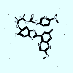 COc1cnc2c(-c3nc4cc(F)c(O[C@@H](C)[C@@H](C)OC(=O)Nc5ccc(N(C)C)nc5)cc4s3)cc(C)cc2n1